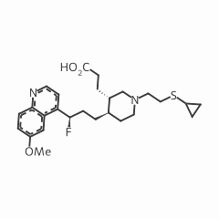 COc1ccc2nccc([C@H](F)CC[C@@H]3CCN(CCSC4CC4)C[C@H]3CCC(=O)O)c2c1